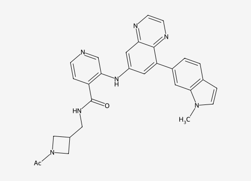 CC(=O)N1CC(CNC(=O)c2ccncc2Nc2cc(-c3ccc4ccn(C)c4c3)c3nccnc3c2)C1